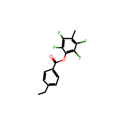 CCc1ccc(C(=O)Oc2c(F)c(F)c(C)c(F)c2F)cc1